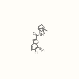 CC(C)Oc1c(Cl)ccc2cc(C(=O)NC3C4CCN(CC4)C3(C)C)sc12